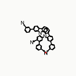 N#Cc1cccc(-c2ccc3c4ccccc4n(-c4cc(C#N)c(-c5cccc(C#N)c5)cc4-n4c5ccccc5c5ccc(-c6cccc(C#N)c6)cc54)c3c2)c1